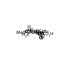 COc1ccc2c(c1)C(C)CN(C1CCN(C(=O)Cn3cc(-c4cccc(F)c4Cl)c(=O)n(C(C)[C@@H](NC(=O)O)C(C)(C)C)c3=O)CC1)C(=O)N2